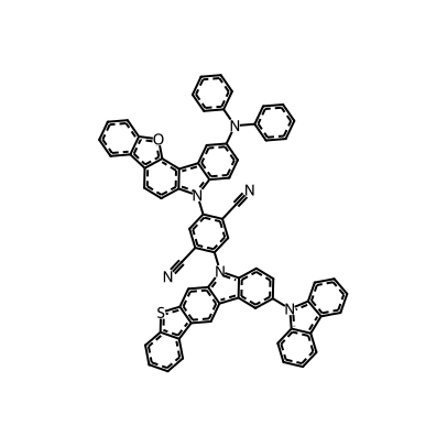 N#Cc1cc(-n2c3ccc(N(c4ccccc4)c4ccccc4)cc3c3c4oc5ccccc5c4ccc32)c(C#N)cc1-n1c2ccc(-n3c4ccccc4c4ccccc43)cc2c2cc3c(cc21)sc1ccccc13